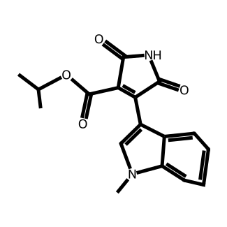 CC(C)OC(=O)C1=C(c2cn(C)c3ccccc23)C(=O)NC1=O